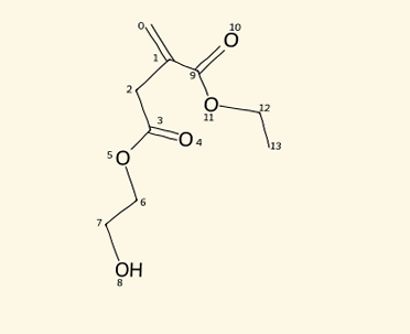 C=C(CC(=O)OCCO)C(=O)OCC